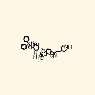 CN(C)Cc1c(OC[C@H]2CC[C@@H](O[Si](c3ccccc3)(c3ccccc3)C(C)(C)C)CC2)ccc2c(CCC3CCNCC3)noc12